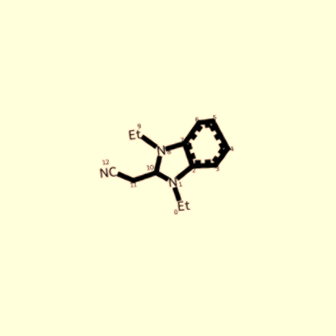 CCN1c2ccccc2N(CC)C1CC#N